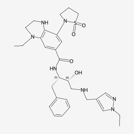 CCN1CCNc2c1cc(C(=O)N[C@@H](Cc1ccccc1)[C@H](O)CNCc1cnn(CC)c1)cc2N1CCCS1(=O)=O